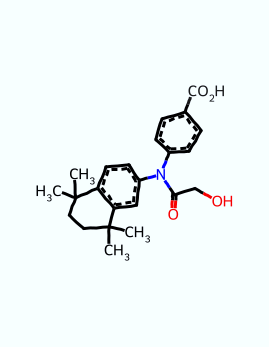 CC1(C)CCC(C)(C)c2cc(N(C(=O)CO)c3ccc(C(=O)O)cc3)ccc21